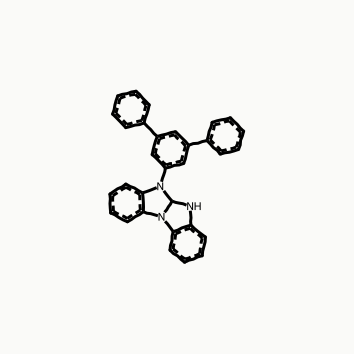 c1ccc(-c2cc(-c3ccccc3)cc(N3c4ccccc4N4c5ccccc5NC34)c2)cc1